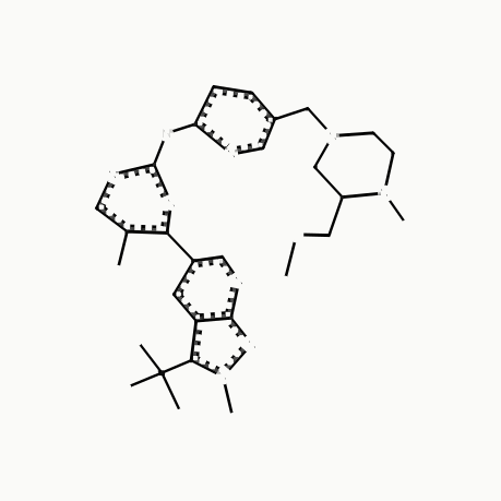 COCC1CN(Cc2ccc(Nc3ncc(F)c(-c4cnc5nn(C)c(C(C)(C)C)c5c4)n3)nc2)CCN1C